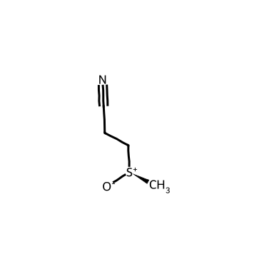 C[S@@+]([O-])CCC#N